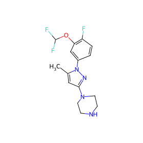 Cc1cc(N2CCNCC2)nn1-c1ccc(F)c(OC(F)F)c1